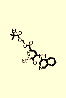 CCn1nc(C(=O)OCOC(=O)C(C)(C)CC)cc(Nc2cncc3ccccc23)c1=O